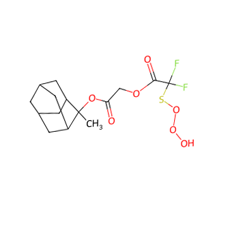 CC1(OC(=O)COC(=O)C(F)(F)SOOO)C2CC3CC(C2)CC1C3